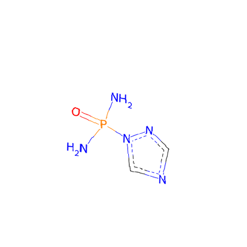 NP(N)(=O)n1cncn1